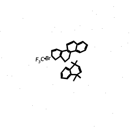 C1=CC2=C(CC1)CCc1c2ccc2ccccc12.CC1(C)C=CC(C)(C)c2ccccc21.FC(F)(F)Br